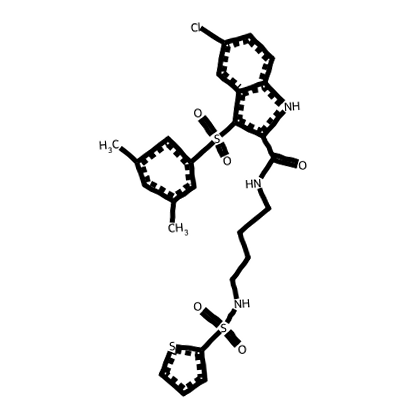 Cc1cc(C)cc(S(=O)(=O)c2c(C(=O)NCCCCNS(=O)(=O)c3cccs3)[nH]c3ccc(Cl)cc23)c1